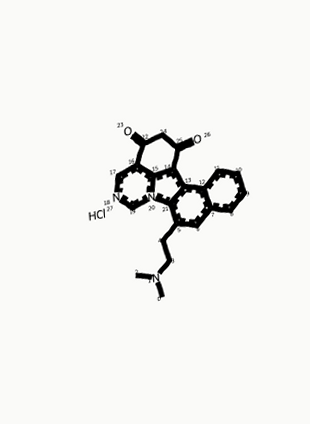 CN(C)CCc1cc2ccccc2c2c3c4c(cncn4c12)C(=O)CC3=O.Cl